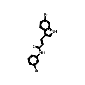 O=C(/C=C/c1c[nH]c2cc(Br)ccc12)Nc1cccc(Br)c1